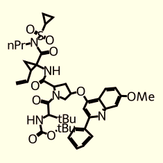 C=CC1CC1(NC(=O)C1CC(Oc2cc(-c3ccccc3)nc3cc(OC)ccc23)CN1C(=O)C(NC(=O)OC(C)(C)C)C(C)(C)C)C(=O)N(CCC)S(=O)(=O)C1CC1